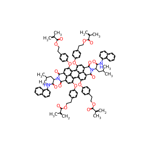 C=C(C)C(=O)OCCc1ccc(Oc2cc3c4c(cc(Oc5ccc(CCOC(=O)C(=C)C)cc5)c5c6c(Oc7ccc(CCOC(=O)C(=C)C)cc7)cc7c8c(cc(Oc9ccc(CCOC(=O)C(=C)C)cc9)c(c2c45)c86)C(=O)N(C(CC(C)C)C(=O)Nc2cccc4ccccc24)C7=O)C(=O)N(C(CC(C)C)C(=O)Nc2cccc4ccccc24)C3=O)cc1